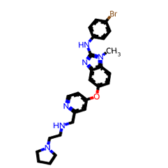 Cn1c(Nc2ccc(Br)cc2)nc2cc(Oc3ccnc(CNCCN4CCCC4)c3)ccc21